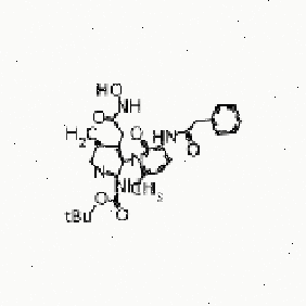 C=C1CN=C(NC(=O)OC(C)(C)C)C(n2c(C)ccc(NC(=O)Cc3ccccc3)c2=O)=C1CC(=O)NO